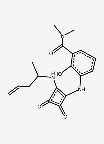 C=CCC(C)Nc1c(Nc2cccc(C(=O)N(C)C)c2O)c(=O)c1=O